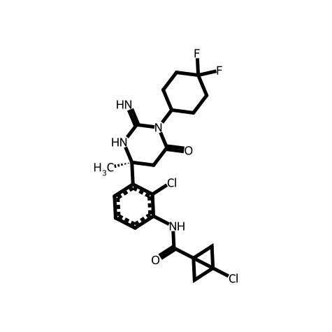 C[C@@]1(c2cccc(NC(=O)C34CC3(Cl)C4)c2Cl)CC(=O)N(C2CCC(F)(F)CC2)C(=N)N1